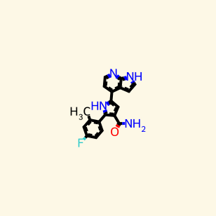 Cc1cc(F)ccc1-c1[nH]c(-c2ccnc3[nH]ccc23)cc1C(N)=O